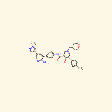 Cc1ccc(-c2cn(CC3CCOCC3)cc(C(=O)Nc3ccc(-c4cc(-c5cnn(C)c5)cnc4N)cc3)c2=O)cc1